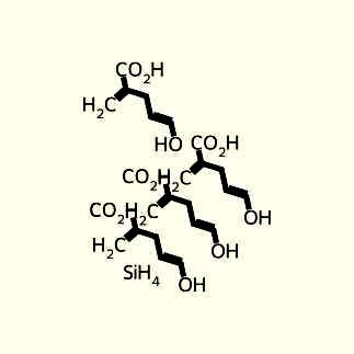 C=C(CC=CO)C(=O)O.C=C(CC=CO)C(=O)O.C=C(CC=CO)C(=O)O.C=C(CC=CO)C(=O)O.[SiH4]